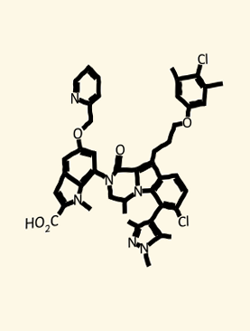 Cc1cc(OCCCc2c3n(c4c(-c5c(C)nn(C)c5C)c(Cl)ccc24)C(C)CN(c2cc(OCc4ccccn4)cc4cc(C(=O)O)n(C)c24)C3=O)cc(C)c1Cl